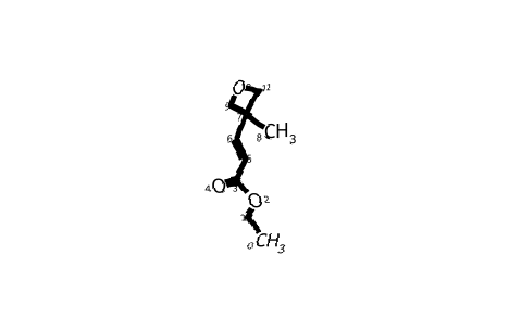 CCOC(=O)/C=C/C1(C)COC1